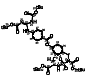 C[C@H](NS(=O)(=O)N(Cc1ccc(OC(=O)c2ccc(N/C(=N\C(=O)OC(C)(C)C)NC(=O)OC(C)(C)C)cc2)cc1)C(=O)OC(C)(C)C)C(=O)OC(C)(C)C